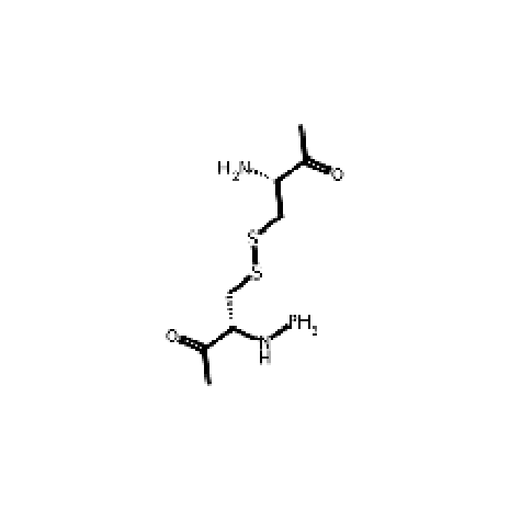 CC(=O)[C@H](CSSC[C@H](N)C(C)=O)NP